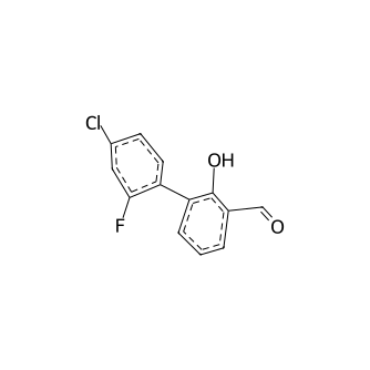 O=Cc1cccc(-c2ccc(Cl)cc2F)c1O